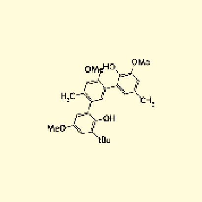 COc1cc(-c2cc(-c3cc(C)cc(OC)c3O)c(OC)cc2C)c(O)c(C(C)(C)C)c1